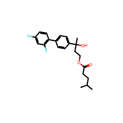 CC(C)CCC(=O)OCCC(C)(O)c1ccc(-c2ccc(F)cc2F)cc1